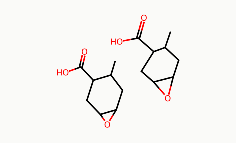 CC1CC2OC2CC1C(=O)O.CC1CC2OC2CC1C(=O)O